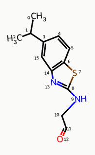 CC(C)c1ccc2sc(NCC=O)nc2c1